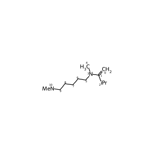 C=C(C(C)C)N(C)CCCCCNC